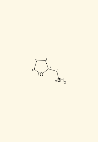 BCC1CCCO1